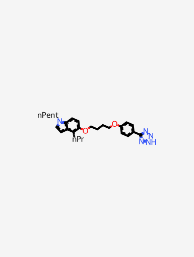 CCCCCn1ccc2c(CCC)c(OCCCCOc3ccc(-c4nn[nH]n4)cc3)ccc21